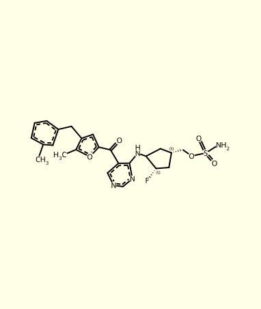 Cc1cccc(Cc2cc(C(=O)c3cncnc3NC3C[C@H](COS(N)(=O)=O)C[C@@H]3F)oc2C)c1